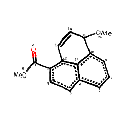 COC(=O)c1ccc2cccc3c2c1C=CC3OC